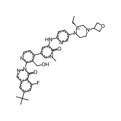 CC[C@H]1CN(C2COC2)CCN1c1ccc(Nc2cc(-c3ccnc(-n4ncc5cc(C(C)(C)C)cc(F)c5c4=O)c3CO)cn(C)c2=O)nc1